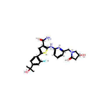 CC(C)(O)c1ccc(-c2cc(C(N)=O)c(Nc3cccc(CN4C[C@@H](O)CC4=O)n3)s2)c(F)c1